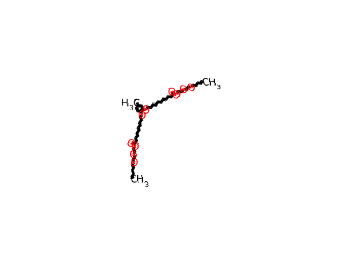 CCCCCCOCCOCCOC(=O)CCCCCCCCCCOc1ccc(C)cc1OCCCCCCCCCCC(=O)OCCOCCOCCCCCC